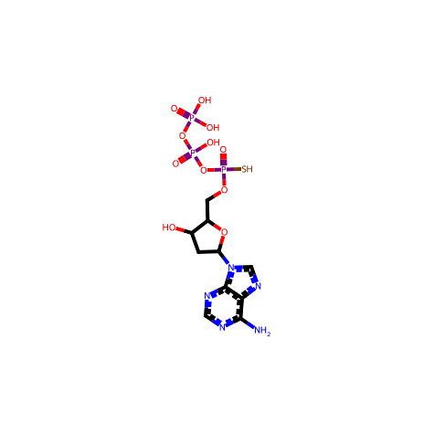 Nc1ncnc2c1ncn2C1CC(O)C(COP(=O)(S)OP(=O)(O)OP(=O)(O)O)O1